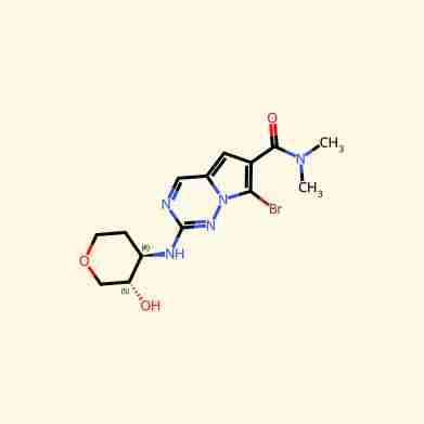 CN(C)C(=O)c1cc2cnc(N[C@@H]3CCOC[C@H]3O)nn2c1Br